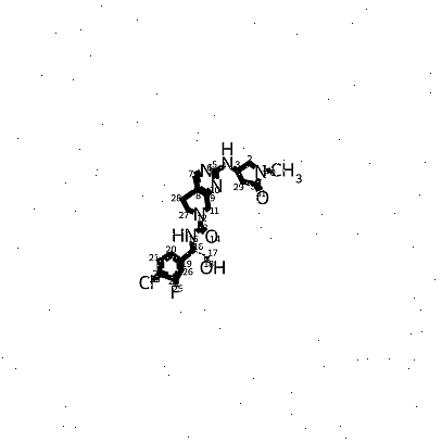 CN1CC(Nc2ncc3c(n2)CN(C(=O)N[C@H](CO)c2ccc(Cl)c(F)c2)CC3)CC1=O